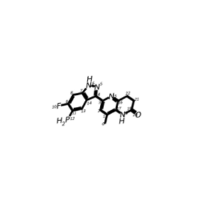 Cc1cc(-c2n[nH]c3cc(F)c(P)cc23)nc2c1NC(=O)CC2